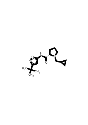 CC(C)(C)c1cc(NC(=O)[C@@H]2CCCN2CC2CC2)on1